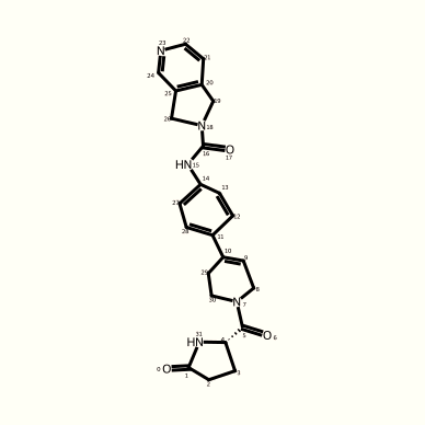 O=C1CC[C@@H](C(=O)N2CC=C(c3ccc(NC(=O)N4Cc5ccncc5C4)cc3)CC2)N1